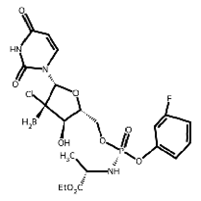 B[C@]1(Cl)[C@H](O)[C@@H](CO[P@](=O)(N[C@@H](C)C(=O)OCC)Oc2cccc(F)c2)O[C@H]1n1ccc(=O)[nH]c1=O